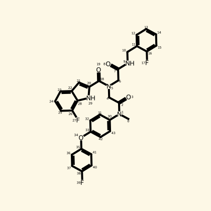 CN(C(=O)CN(CC(=O)NCc1ccccc1F)C(=O)c1cc2cccc(F)c2[nH]1)c1ccc(Oc2ccc(F)cc2)cc1